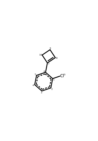 Clc1ccccc1C1=CCC1